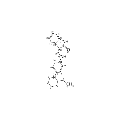 CCC1CCCCN1c1ccc(NC=C2C(=O)Nc3ccccc32)cc1